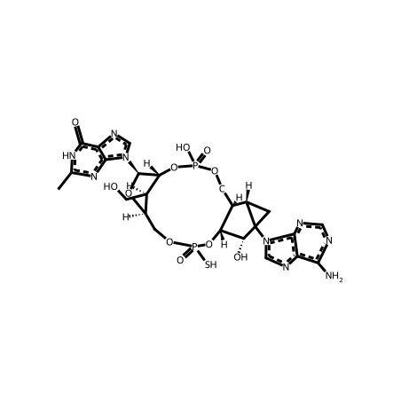 Cc1nc2c(ncn2[C@@H]2O[C@@H]3COP(=O)(S)O[C@@H]4[C@@H](COP(=O)(O)O[C@@H]2[C@@H]3CO)[C@@H]2CC2(n2cnc3c(N)ncnc32)[C@@H]4O)c(=O)[nH]1